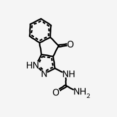 NC(=O)Nc1n[nH]c2c1C(=O)c1ccccc1-2